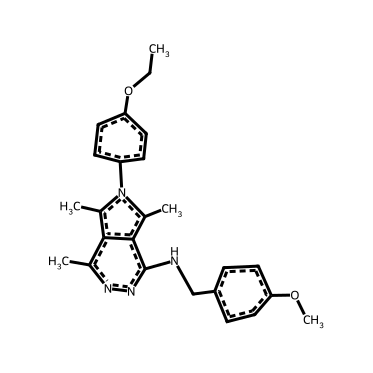 CCOc1ccc(-n2c(C)c3c(C)nnc(NCc4ccc(OC)cc4)c3c2C)cc1